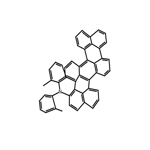 Cc1ccccc1N(c1ccccc1C)c1ccc2cccc3c2c1c1cccc2c1c3c1cccc3c4cccc5cccc(c54)c2c31